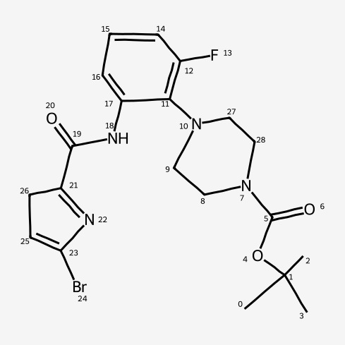 CC(C)(C)OC(=O)N1CCN(c2c(F)cccc2NC(=O)C2=NC(Br)=CC2)CC1